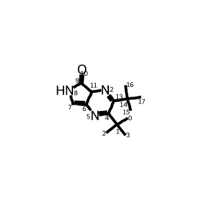 CC(C)(C)C1=NC2=CNC(=O)C2N=C1C(C)(C)C